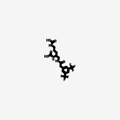 O=C(O)NCCCC(CNC(=O)Cc1cc(C(F)(F)F)cc(C(F)(F)F)c1)NC(=O)O